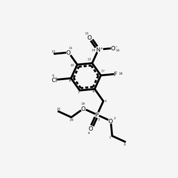 CCOP(=O)(Cc1cc(Cl)c(OC)c([N+](=O)[O-])c1F)OCC